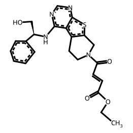 CCOC(=O)/C=C/C(=O)N1CCc2c(sc3ncnc(N[C@H](CO)c4ccccc4)c23)C1